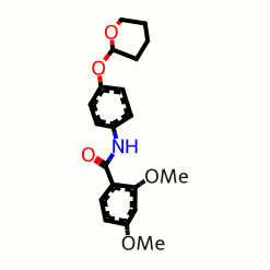 COc1ccc(C(=O)Nc2ccc(OC3CCCCO3)cc2)c(OC)c1